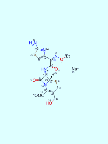 CCO/N=C(\C(=O)N[C@@H]1C(=O)N2C(C(=O)[O-])=C(CO)CS[C@@H]12)c1csc(N)n1.[Na+]